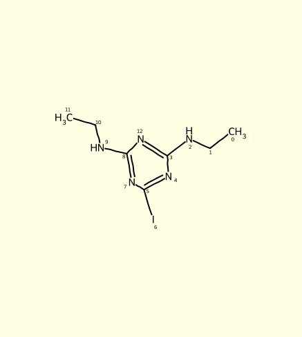 CCNc1nc(I)nc(NCC)n1